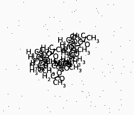 C=C(C)C(=O)OC[Si](O)(O[Si](C)(C)C)O[Si](C)(C)C.C=C(C)C(=O)OC[Si](O)(O[Si](C)(C)C)[Si](C)(C)O[Si](C)(C)C.C=C(C)C(=O)OC[Si](O)(O[Si](C)(C)C)[Si](C)(C)O[Si](C)(C)C